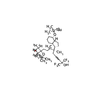 [2H]C([2H])([2H])C(CCC[C@](C)(CC#CC(O)(C(F)(F)F)C(F)(F)F)[C@H]1CC[C@H]2[C@@H](O[Si](C)(C)C(C)(C)C)CCC[C@]12C)(O[Si](C)(C)C)C([2H])([2H])[2H]